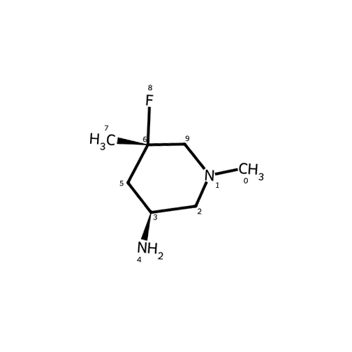 CN1C[C@@H](N)C[C@](C)(F)C1